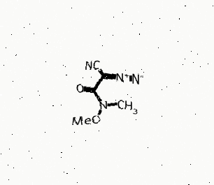 CON(C)C(=O)C(C#N)=[N+]=[N-]